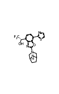 O[C@@H](c1ccc(-c2nccs2)c2oc(N3CC4CCC(C3)N4)nc12)C(F)(F)F